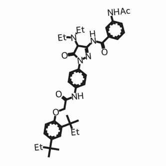 CCN(CC)C1C(=O)N(c2ccc(NC(=O)COc3ccc(C(C)(C)CC)cc3C(C)(C)CC)cc2)N=C1NC(=O)c1cccc(NC(C)=O)c1